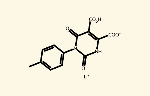 Cc1ccc(-n2c(=O)[nH]c(C(=O)[O-])c(C(=O)O)c2=O)cc1.[Li+]